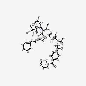 CC(=O)O/C(=C(\C(C)C)N1C[C@H](OCc2ccccc2)C[C@H]1C(=O)NC(=O)[C@@H](NC(=O)c1ccc(C(=O)N2CCOCC2)cc1)C(C)C)C(F)(F)C(F)(F)F